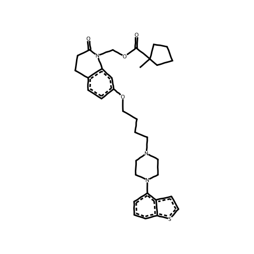 CC1(C(=O)OCN2C(=O)CCc3ccc(OCCCCN4CCN(c5cccc6sccc56)CC4)cc32)CCCC1